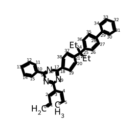 C=C/C=C(\C=C/C)c1nc(-c2ccccc2)nc(-c2ccc(C(CC)(CC)c3ccc(-c4ccccc4)cc3)cc2)n1